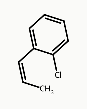 C/C=C\c1ccccc1Cl